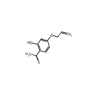 C=CCOc1ccc(C(C)=O)c(O)c1